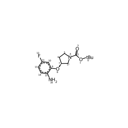 CC(C)(C)OC(=O)N1CC[C@H](Oc2cc(F)ccc2N)C1